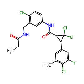 Cc1cc(C2C(C(=O)Nc3ccc(Cl)c(CNC(=O)CC(F)(F)F)c3)C2(Cl)Cl)cc(F)c1Cl